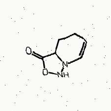 O=C1ONN2C=CCCC12